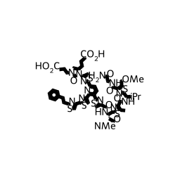 CNC(=O)C[C@H](NC(=O)c1csc(-c2ccc(-c3nc(N4C(=O)N(CCCC(=O)O)CC4CCCC(=O)O)cs3)nc2-c2csc(-c3csc(CCc4ccccc4)n3)n2)n1)c1nc(C(=O)NC(c2nc(C(=O)NCC(N)=O)c(COC)s2)C(C)C)c(C)s1